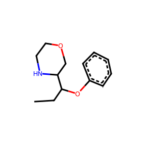 CCC(Oc1[c]cccc1)C1COCCN1